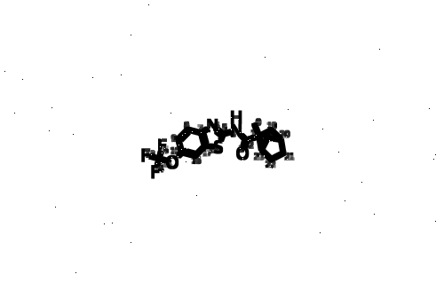 CC1(C(=O)Nc2nc3ccc(OC(F)(F)F)cc3s2)CC2CCC1C2